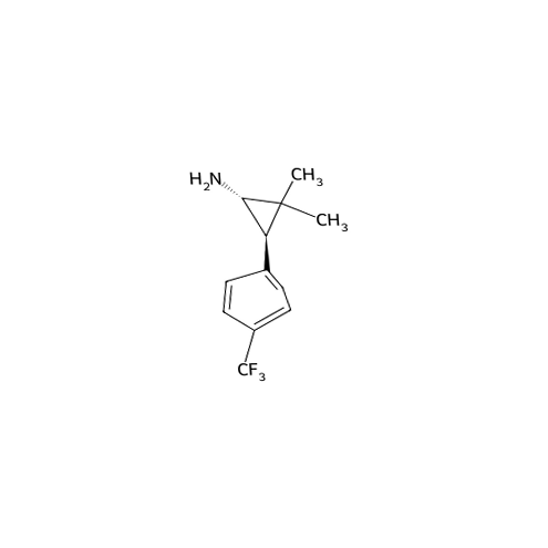 CC1(C)[C@@H](N)[C@@H]1c1ccc(C(F)(F)F)cc1